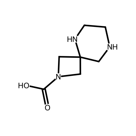 O=C(O)N1CC2(CNCCN2)C1